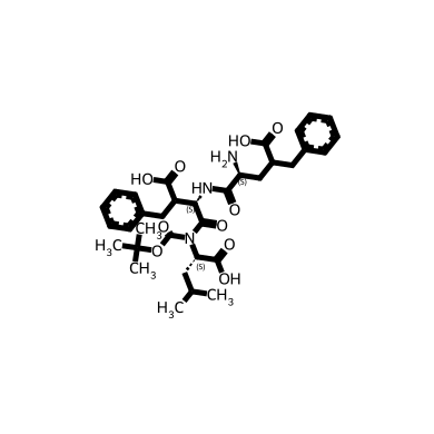 CC(C)C[C@@H](C(=O)O)N(C(=O)OC(C)(C)C)C(=O)[C@@H](NC(=O)[C@@H](N)CC(Cc1ccccc1)C(=O)O)C(Cc1ccccc1)C(=O)O